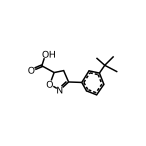 CC(C)(C)c1cccc(C2=NOC(C(=O)O)C2)c1